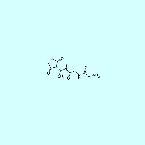 CC(NC(=O)CNC(=O)CN)[C]1C(=O)CCC1=O